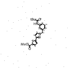 COC(=O)c1ccc(-c2ccn(Cc3cccc(NC(=O)C(C)(C)C)n3)n2)s1